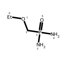 CCOCP(N)(N)=O